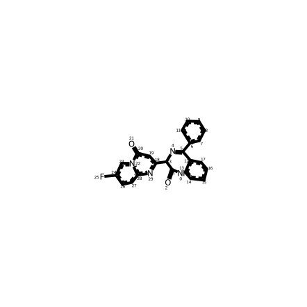 NC(=O)C(N=C(c1ccccc1)c1ccccc1)c1cc(=O)n2cc(F)ccc2n1